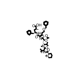 CC(=O)O[C@H](C[C@H](C(C)C)N(C)C(=O)[C@@H](NC(=O)[C@H]1CCCCN1C)C(C)C)c1nc(C(=O)N[C@@H](Cc2ccccc2)C[C@H](C)C(=O)O)c(CCOCc2ccccc2)s1